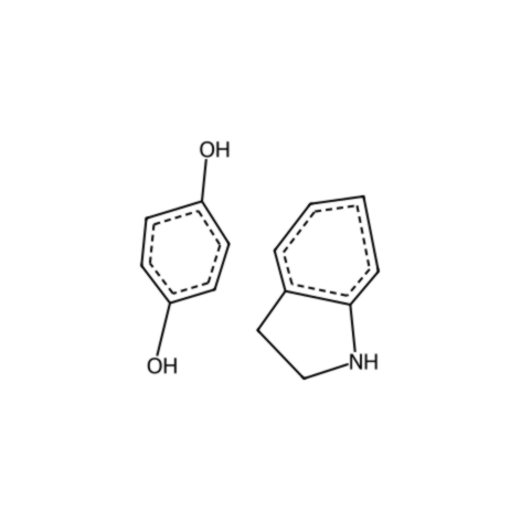 Oc1ccc(O)cc1.c1ccc2c(c1)CCN2